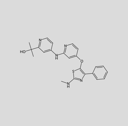 CNc1nc(-c2ccccc2)c(Oc2ccnc(Nc3ccnc(C(C)(C)O)c3)c2)s1